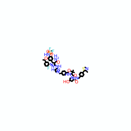 Cc1ncsc1-c1ccc(CNC(=O)[C@@H]2C[C@@H](O)CN2C(=O)C(NC(=O)c2ccc(Cn3ccc(Nc4[nH]nc(-c5ccc(NS(=O)(=O)C(F)F)c(OC(C)c6ccc(F)cc6)c5)c4C(N)=O)n3)cc2)C(C)(C)C)cc1